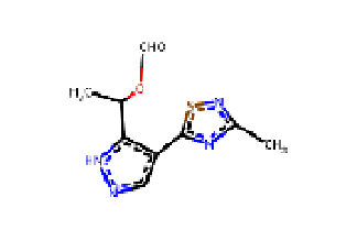 Cc1nsc(-c2cn[nH]c2C(C)OC=O)n1